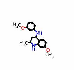 COc1cccc(NC2CC(C)Nc3cc(OC)ccc32)c1